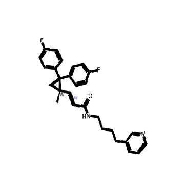 C[C@@]1(/C=C/C(=O)NCCCCc2cccnc2)CC1(c1ccc(F)cc1)c1ccc(F)cc1